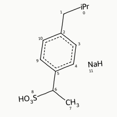 CC(C)Cc1ccc(C(C)S(=O)(=O)O)cc1.[NaH]